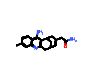 Cc1ccc2c(N)c3c(nc2c1)CC1C=C(CC(N)=O)CC3C1